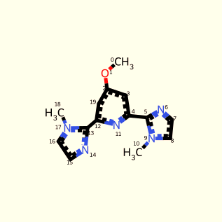 COc1cc(-c2nccn2C)nc(-c2nccn2C)c1